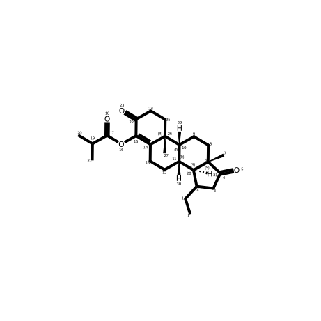 CCC1CC(=O)[C@@]2(C)CC[C@@H]3[C@@H](CCC4=C(OC(=O)C(C)C)C(=O)CC[C@@]43C)[C@H]12